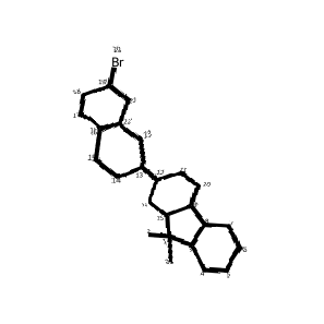 CC1(C)C2CCCCC2C2CCC(C3CCC4CCC(Br)CC4C3)CC21